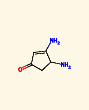 NC1=CC(=O)CC1N